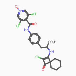 O=C(Nc1ccc(CC(NC2=C(Cl)C(=O)C23CCCCC3)C(=O)O)cc1)c1c(Cl)c[n+]([O-])cc1Cl